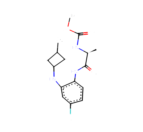 C[C@H](NC(=O)OC(C)(C)C)C(=O)Nc1ccc(F)cc1NC1CC(C#N)C1